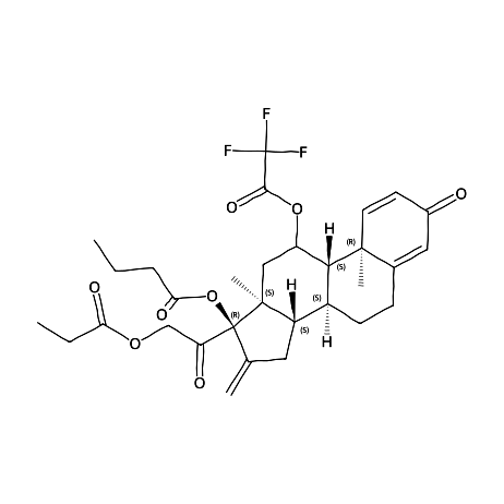 C=C1C[C@H]2[C@@H]3CCC4=CC(=O)C=C[C@]4(C)[C@H]3C(OC(=O)C(F)(F)F)C[C@]2(C)[C@@]1(OC(=O)CCC)C(=O)COC(=O)CC